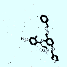 Cc1ccccc1[C@H](CCC(=O)O)Oc1cc(OCc2ccsc2)ccc1C=NOCc1ccccc1.O